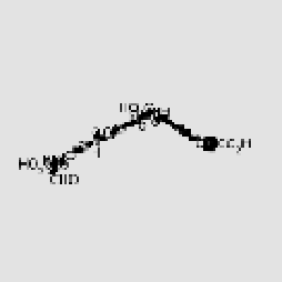 O=CCC[C@H](NC(=O)COCCOCCNC(=O)COCCOCCNC(=O)CC[C@@H](NC(=O)CCCCCCCCCOc1ccc(C(=O)O)cc1)C(=O)O)C(=O)O